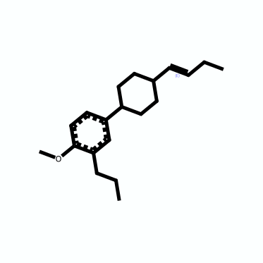 CC/C=C/C1CCC(c2ccc(OC)c(CCC)c2)CC1